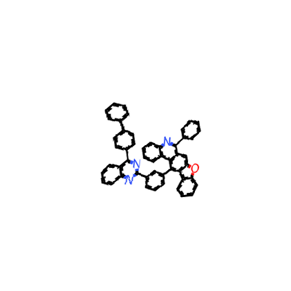 c1ccc(-c2ccc(-c3nc(-c4cccc(-c5c6c(cc7c(-c8ccccc8)nc8ccccc8c57)oc5ccccc56)c4)nc4ccccc34)cc2)cc1